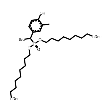 CCCCCCCCCCCCCCCCCCOP(=O)(OCCCCCCCCCCCCCCCCCC)C(c1ccc(O)c(C)c1)C(C)(C)C